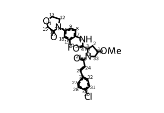 CO[C@@H]1C[C@H](C(=O)Nc2ccc(N3CCOCC3=O)cc2F)N(C(=O)C=Cc2ccc(Cl)cc2)C1